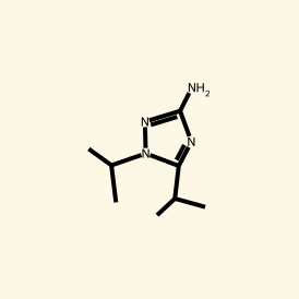 CC(C)c1nc(N)nn1C(C)C